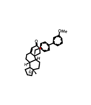 COc1cccc(-c2ccc(C[C@]34CCC(=O)C=C3CC[C@@H]3[C@H]4CC[C@]4(C)CCC[C@@H]34)cc2)c1